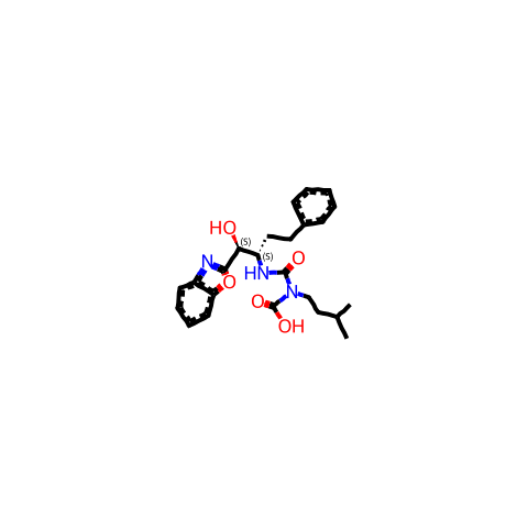 CC(C)CCN(C(=O)O)C(=O)N[C@@H](CCc1ccccc1)[C@H](O)c1nc2ccccc2o1